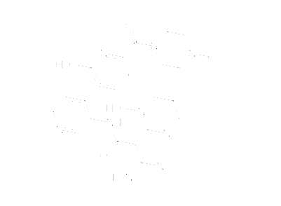 Cc1nc(C(=O)N2CCN(C)CC2)ccc1-c1ccncc1NC(=O)C(C(N)N=O)C1NCC(F)CN1C